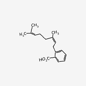 CC(C)=CCC/C(C)=C\Cc1ccccc1C(=O)O